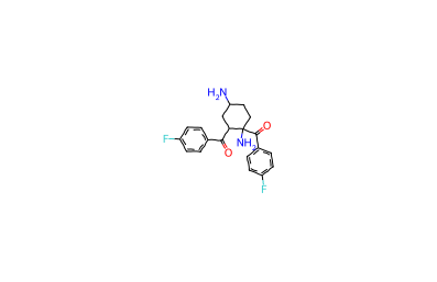 NC1CCC(N)(C(=O)c2ccc(F)cc2)C(C(=O)c2ccc(F)cc2)C1